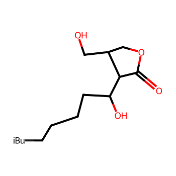 CCC(C)CCCCC(O)C1C(=O)OCC1CO